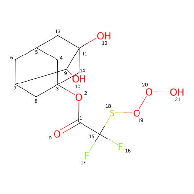 O=C(OC12CC3CC(C1)C(O)C(O)(C3)C2)C(F)(F)SOOO